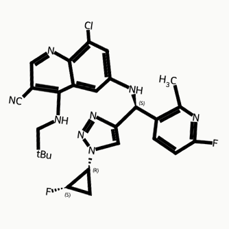 Cc1nc(F)ccc1[C@H](Nc1cc(Cl)c2ncc(C#N)c(NCC(C)(C)C)c2c1)c1cn([C@@H]2C[C@@H]2F)nn1